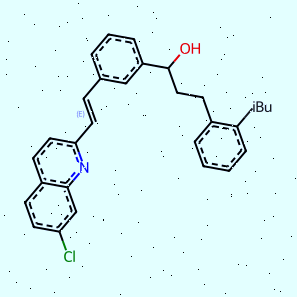 CCC(C)c1ccccc1CCC(O)c1cccc(/C=C/c2ccc3ccc(Cl)cc3n2)c1